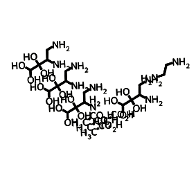 CC(=O)O.CC(=O)O.CC(=O)O.CC(=O)O.NCC(N)C(O)(O)C(O)O.NCC(N)C(O)(O)C(O)O.NCC(N)C(O)(O)C(O)O.NCC(N)C(O)(O)C(O)O.NCCN